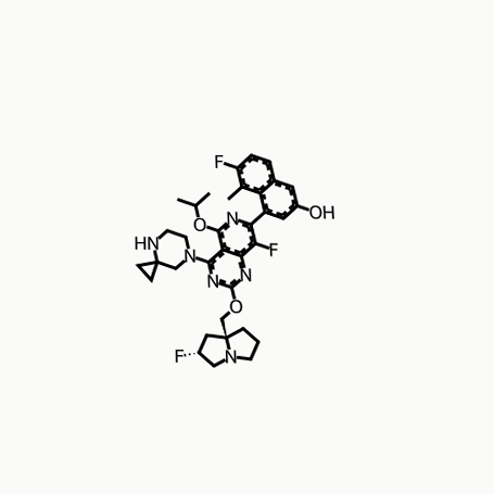 Cc1c(F)ccc2cc(O)cc(-c3nc(OC(C)C)c4c(N5CCNC6(CC6)C5)nc(OC[C@@]56CCCN5C[C@H](F)C6)nc4c3F)c12